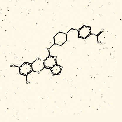 Cc1cc(C#N)cc(C)c1Oc1nc(NC2CCN(Cc3ccc(C(N)=O)cc3)CC2)nc2scnc12